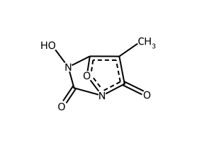 Cc1c2on(c1=O)C(=O)N2O